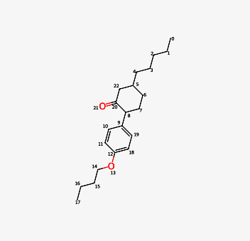 CCCCCC1CCC(c2ccc(OCCCC)cc2)C(=O)C1